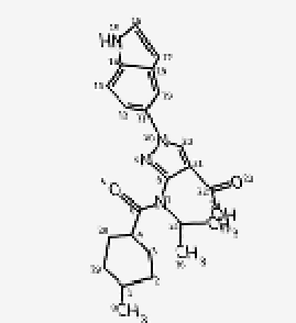 CC1CCC(C(=O)N(c2nn(-c3ccc4[nH]ccc4c3)cc2C(=O)O)C(C)C)CC1